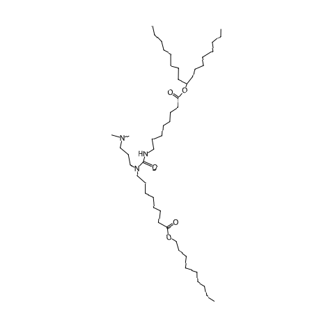 CCCCCCCCCOC(=O)CCCCCCCN(CCCN(C)C)C(=O)NCCCCCCCC(=O)OC(CCCCCCCC)CCCCCCCC